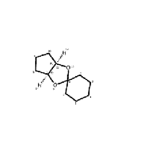 C1CCC2(CC1)O[C@H]1CCC[C@H]1O2